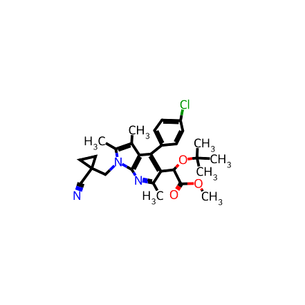 COC(=O)C(OC(C)(C)C)c1c(C)nc2c(c(C)c(C)n2CC2(C#N)CC2)c1-c1ccc(Cl)cc1